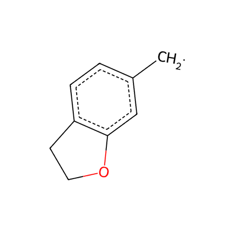 [CH2]c1ccc2c(c1)OCC2